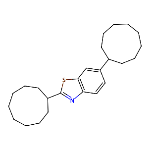 c1cc2nc(C3CCCCCCCC3)sc2cc1C1CCCCCCCC1